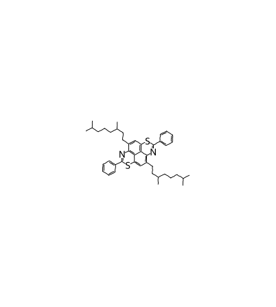 CC(C)CCCC(C)CCc1cc2c3c(c(CCC(C)CCCC(C)C)cc4c3c1N=C(c1ccccc1)S4)N=C(c1ccccc1)S2